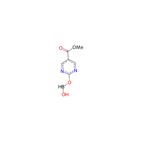 COC(=O)c1cnc(OBO)nc1